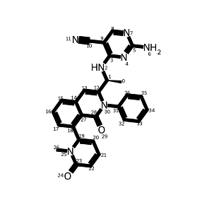 C[C@H](Nc1nc(N)ncc1C#N)c1cc2cccc(-c3cccc(=O)n3C)c2c(=O)n1-c1ccccc1